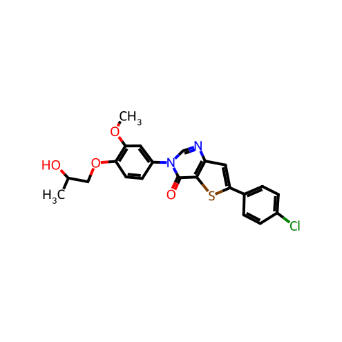 COc1cc(-n2cnc3cc(-c4ccc(Cl)cc4)sc3c2=O)ccc1OCC(C)O